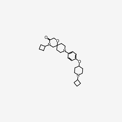 O=C1COC2(CCN(c3ccc(OC4CCN(C5CCC5)CC4)cc3)CC2)CN1C1CCC1